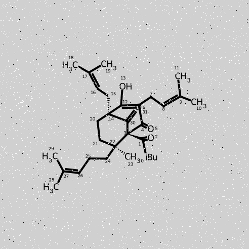 CCC(C)C(=O)[C@@]12C(=O)C(CC=C(C)C)=C(O)[C@](CC=C(C)C)(CC[C@]1(C)CCC=C(C)C)C2=O